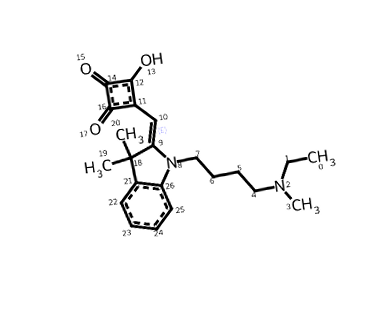 CCN(C)CCCCN1/C(=C/c2c(O)c(=O)c2=O)C(C)(C)c2ccccc21